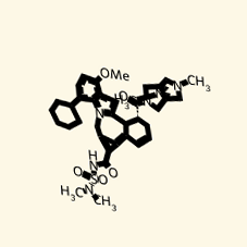 COc1ccc(C2CCCCC2)c2c1cc1n2CC2=C(C(=O)NS(=O)(=O)N(C)C)C2=C2C=CC[C@@H](C(=O)N3CC45CN(C)CC4(CN(C)C5)C3)C21